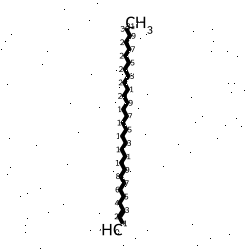 [CH]=C/C=C/CCCCCCCCCCCCCCCCCCCCCCCCCCCC